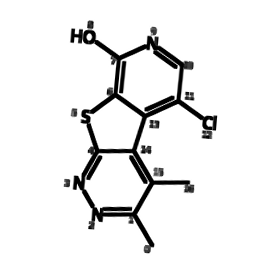 Cc1nnc2sc3c(O)ncc(Cl)c3c2c1C